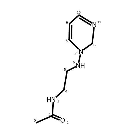 CC(=O)NCCNN1C=CC=NC1